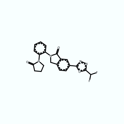 O=C1CCCN1c1ccccc1N1Cc2ccc(-c3nnc(C(F)F)o3)cc2C1=O